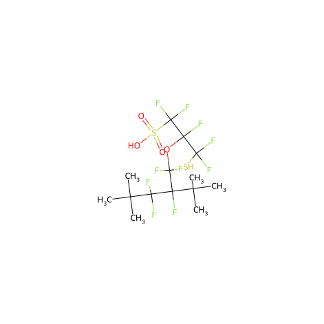 CC(C)(C)C(F)(F)C(F)(C(C)(C)C)C(F)(F)OC(F)(C(F)(F)S)C(F)(F)S(=O)(=O)O